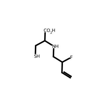 C=CC(F)CNC(CS)C(=O)O